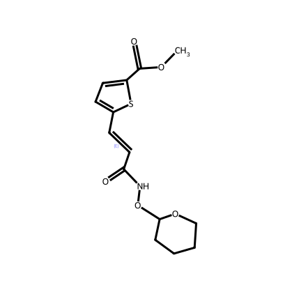 COC(=O)c1ccc(/C=C/C(=O)NOC2CCCCO2)s1